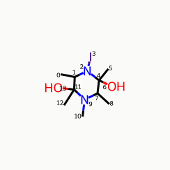 CC1N(I)C(C)(O)C(C)N(C)C1(C)O